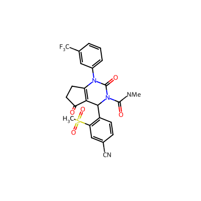 CNC(=O)N1C(=O)N(c2cccc(C(F)(F)F)c2)C2=C(C(=O)CC2)C1c1ccc(C#N)cc1S(C)(=O)=O